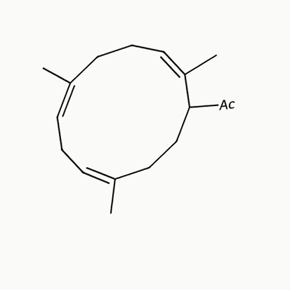 CC(=O)C1CC/C(C)=C\C/C=C(/C)CC/C=C\1C